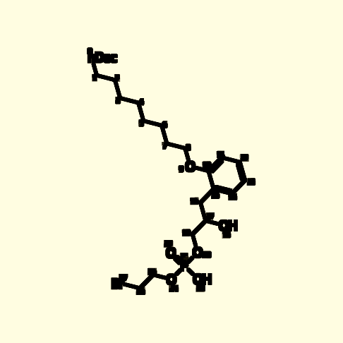 CCCCCCCCCCCCCCCCCCOc1ccccc1CC(O)COP(=O)(O)OCCBr